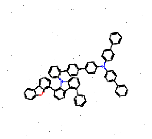 c1ccc(-c2ccc(N(c3ccc(-c4ccccc4)cc3)c3ccc(-c4ccc(-c5ccccc5-n5c6cccc(-c7ccccc7)c6c6cccc(-c7cccc8c7oc7ccccc78)c65)cc4)cc3)cc2)cc1